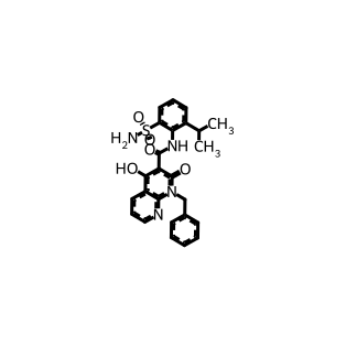 CC(C)c1cccc(S(N)(=O)=O)c1NC(=O)c1c(O)c2cccnc2n(Cc2ccccc2)c1=O